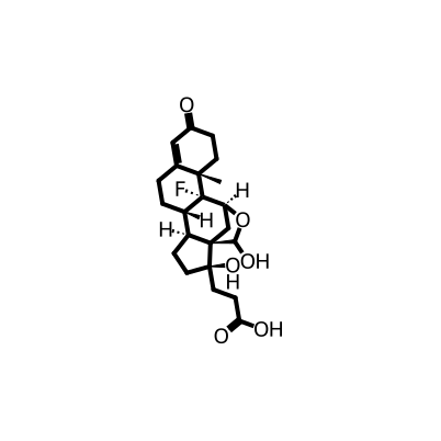 C[C@]12CCC(=O)C=C1CC[C@H]1[C@@H]3CC[C@@](O)(CCC(=O)O)[C@@]34C[C@H](OC4O)[C@@]12F